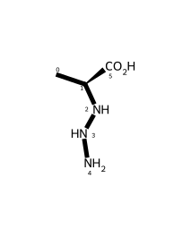 C[C@H](NNN)C(=O)O